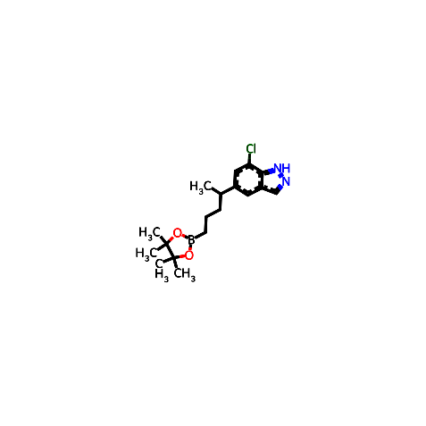 CC(CCCB1OC(C)(C)C(C)(C)O1)c1cc(Cl)c2[nH]ncc2c1